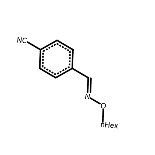 CCCCCCO/N=[C]/c1ccc(C#N)cc1